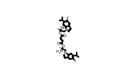 CC(C)c1cc2c(ccn2C[C@@](C)(N)OC(=O)/C=C/C(=O)O[C@](C)(N)Cn2ccc3cc(F)c(C(C)C)cc32)cc1F